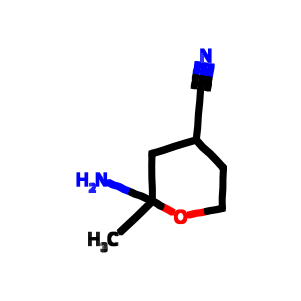 CC1(N)CC(C#N)CCO1